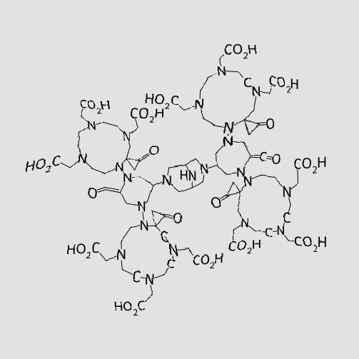 O=C=C1CN(N2CCN(CC(=O)O)CCN(CC(=O)O)CCN(CC(=O)O)CC23CC3=O)CC(N2CC3CN(C4CN(N5CCN(CC(=O)O)CCN(CC(=O)O)CCN(CC(=O)O)CC56CC6=O)CC(=C=O)N(N5CCN(CC(=O)O)CCN(CC(=O)O)CCN(CC(=O)O)CC56CC6=O)C4)CC(C2)N3)CN1N1CCN(CC(=O)O)CCN(CC(=O)O)CCN(CC(=O)O)CC12CC2=O